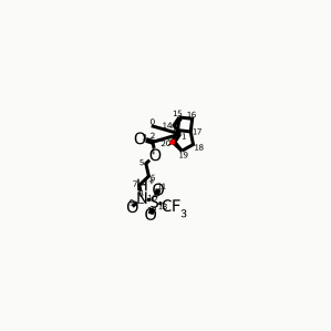 CC1(C(=O)OCCC[NH+]([O-])S(=O)(=O)C(F)(F)F)C=C2CC3CC(CC23)C1